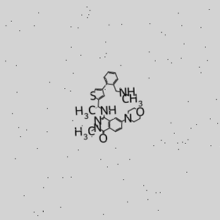 CNCc1ccccc1-c1csc([C@@H](C)Nc2nn(C)c(=O)c3ccc(N4CCOCC4)cc23)c1